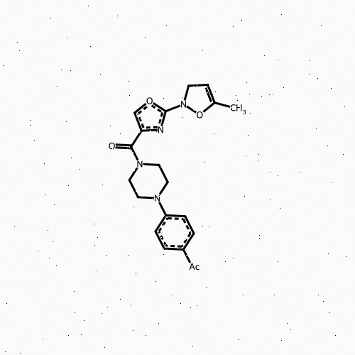 CC(=O)c1ccc(N2CCN(C(=O)c3coc(N4CC=C(C)O4)n3)CC2)cc1